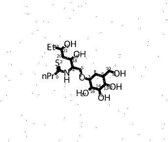 CCCC(=S)NC(COC1CC(CO)C(O)C(O)C1O)C(O)CC(O)CC